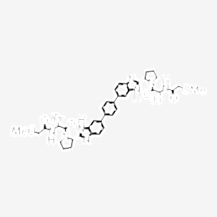 COCC(=O)N[C@H](C(=O)N1CCC[C@H]1c1nc2ccc(-c3ccc(-c4ccc5nc([C@@H]6CCCN6C(=O)[C@@H](NC(=O)COC)C(C)C)[nH]c5c4)cc3)cc2[nH]1)C(C)C